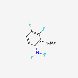 CNc1c(N(F)F)ccc(F)c1F